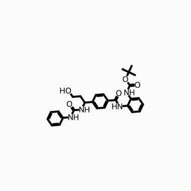 CC(C)(C)OC(=O)Nc1ccccc1NC(=O)c1ccc(C(CCO)NC(=O)Nc2ccccc2)cc1